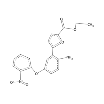 CCOC(=O)c1ccc(-c2cc(Oc3ccccc3[N+](=O)[O-])ccc2N)o1